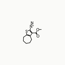 COC(=O)c1c([N+]#N)sc2c1CCCCC2